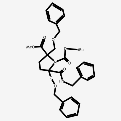 COC(=O)C1(COCc2ccccc2)CCC(COCc2ccccc2)(C(=O)NCc2ccccc2)N1C(=O)OC(C)(C)C